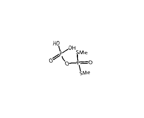 CSP(=O)(OP(=O)(O)O)SC